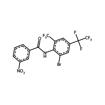 O=C(Nc1c(Br)cc(C(F)(F)C(F)(F)F)cc1C(F)(F)F)c1cccc([N+](=O)[O-])c1